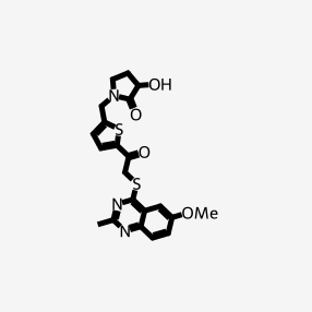 COc1ccc2nc(C)nc(SCC(=O)c3ccc(CN4CCC(O)C4=O)s3)c2c1